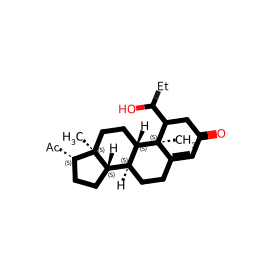 [CH2]CC(O)C1CC(=O)C=C2CC[C@H]3[C@@H]4CC[C@H](C(C)=O)[C@@]4(C)CC[C@@H]3[C@]21C